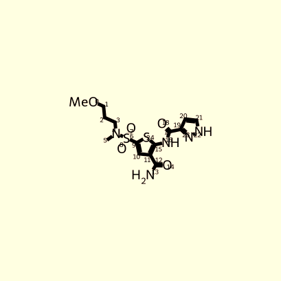 COCCCN(C)S(=O)(=O)c1cc(C(N)=O)c(NC(=O)c2cc[nH]n2)s1